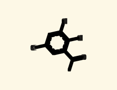 CC(=O)c1cc(Cl)cc(Cl)c1Cl